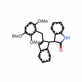 COc1ccc(OC)c(OC)c1CC1=Cc2ccccc2C1C1C(=O)Nc2ccccc21